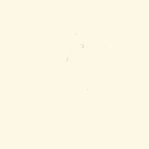 O=S(=O)(Cc1ccccc1F)N1CCOc2ccc(COCc3ccccc3)cc2C1